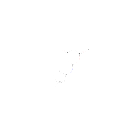 Cc1cc(NC2OC(=O)CC(=O)O2)cs1